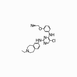 CCN1CCc2ccc(Nc3ncc(Cl)c(Nc4cccc(OCC#N)c4)n3)cc2CC1